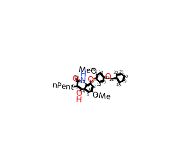 CCCCCc1c(O)c2cc(OC)cc(Oc3ccc(OCc4ccccc4)cc3OC)c2[nH]c1=O